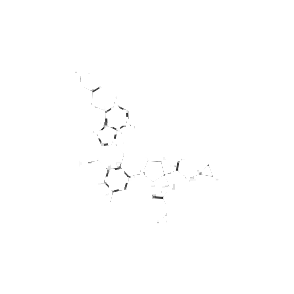 CC(C)(C)OC(=O)Nc1ncnc2c1ncn2Cc1c(CO)cc(Cl)cc1N1CC[C@](NC(=O)OC(C)(C)C)(C(=O)NC2CC2)C1